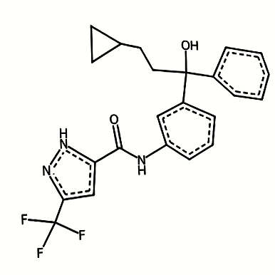 O=C(Nc1cccc(C(O)(CCC2CC2)c2ccccc2)c1)c1cc(C(F)(F)F)n[nH]1